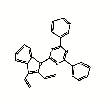 C=Cc1c(C=C)n(-c2nc(-c3ccccc3)nc(-c3ccccc3)n2)c2ccccc12